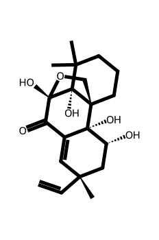 C=C[C@]1(C)C=C2C(=O)[C@]3(O)OC[C@@]4(CCCC(C)(C)[C@@]43O)[C@@]2(O)[C@H](O)C1